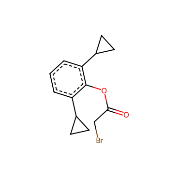 O=C(CBr)Oc1c(C2CC2)cccc1C1CC1